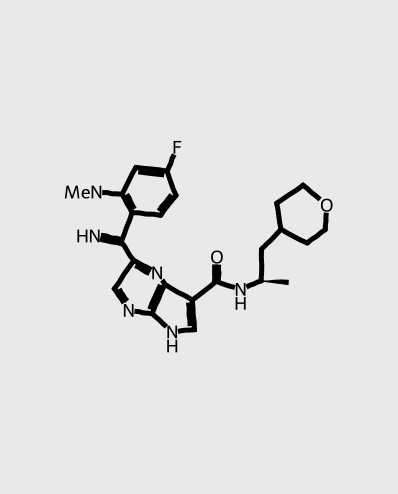 CNc1cc(F)ccc1C(=N)c1cnc2[nH]cc(C(=O)N[C@H](C)CC3CCOCC3)c2n1